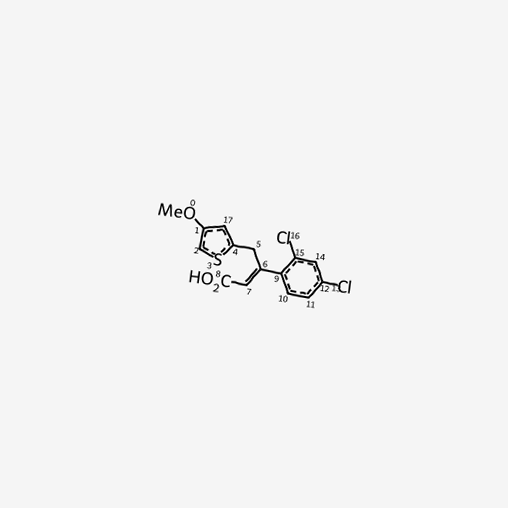 COc1csc(CC(=CC(=O)O)c2ccc(Cl)cc2Cl)c1